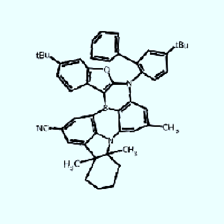 Cc1cc2c3c(c1)N1c4c(cc(C#N)cc4C4(C)CCCCC14C)B3c1c(oc3cc(C(C)(C)C)ccc13)N2c1ccc(C(C)(C)C)cc1-c1ccccc1